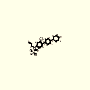 C=CCn1c(S(C)(=O)=O)nc2cc(-c3ccc(C4C=CC=CC4)cc3)c(Cl)cc21